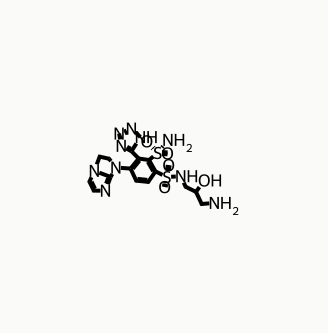 NCC(O)CNS(=O)(=O)c1ccc(N2CCn3ccnc32)c(-c2nnn[nH]2)c1S(N)(=O)=O